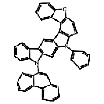 c1ccc(-n2c3cc4c(cc3c3c5c(ccc32)oc2ccccc25)c2ccccc2n4-c2cc3ccccc3c3ccccc23)cc1